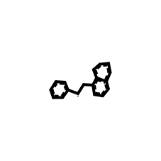 [CH](Cc1cccc2ccccc12)c1ccccc1